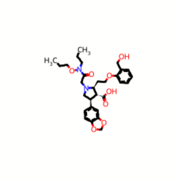 CCCON(CCC)C(=O)CN1C[C@H](c2ccc3c(c2)OCO3)[C@@H](C(=O)O)[C@@H]1CCOc1ccccc1CO